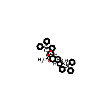 CC(=O)OC[C@]12CC[C@H](O[Si](c3ccccc3)(c3ccccc3)c3ccccc3)C=C1CC[C@@H]1[C@@H]2CC[C@]2(C)[C@@H](O[Si](c3ccccc3)(c3ccccc3)c3ccccc3)CC[C@@H]12